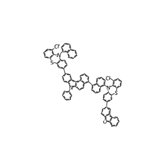 Clc1cccc2c1N(c1cccc3ccccc13)c1ccc(-c3ccc4c(c3)c3c5cccc(-c6cccc7c(N8c9ccc(-c%10ccc%11oc%12ccccc%12c%11c%10)cc9Sc9cccc(Cl)c98)cccc67)c5ccc3n4-c3ccccc3)cc1S2